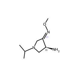 CO/N=C1\CN(C(C)C)C[C@@H]1N